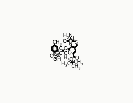 CC(C)(C)OC(=O)C=CC1=C(C(=O)OC(C)(C)C)N2C(=O)C(N)[C@@H]2SC1.Cc1ccc(S(=O)(=O)O)cc1